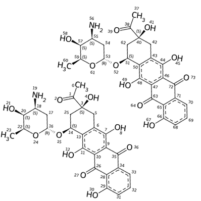 CC(=O)[C@]1(O)Cc2c(O)c3c(c(O)c2[C@@H](O[C@H]2C[C@H](N)[C@H](O)[C@H](C)O2)C1)C(=O)c1c(O)cccc1C3=O.CC(=O)[C@]1(O)Cc2c(O)c3c(c(O)c2[C@@H](O[C@H]2C[C@H](N)[C@H](O)[C@H](C)O2)C1)C(=O)c1c(O)cccc1C3=O